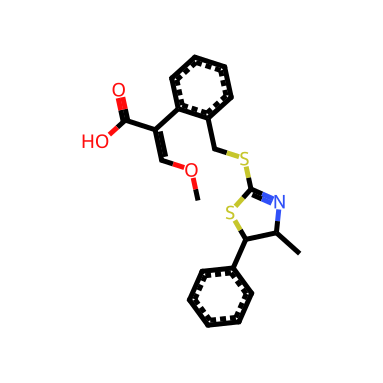 CO/C=C(/C(=O)O)c1ccccc1CSC1=NC(C)C(c2ccccc2)S1